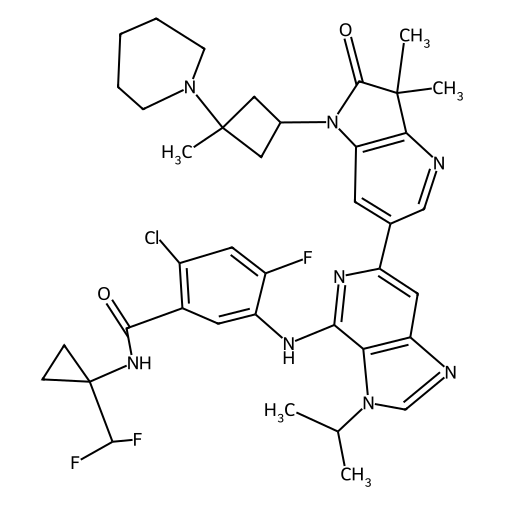 CC(C)n1cnc2cc(-c3cnc4c(c3)N(C3CC(C)(N5CCCCC5)C3)C(=O)C4(C)C)nc(Nc3cc(C(=O)NC4(C(F)F)CC4)c(Cl)cc3F)c21